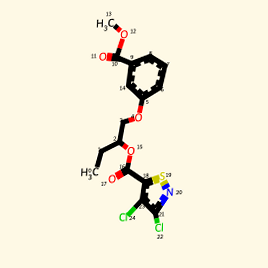 CCC(COc1cccc(C(=O)OC)c1)OC(=O)c1snc(Cl)c1Cl